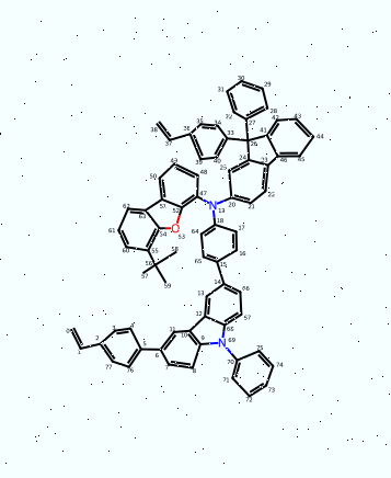 C=Cc1ccc(-c2ccc3c(c2)c2cc(-c4ccc(N(c5ccc6c(c5)C(c5ccccc5)(c5ccc(C=C)cc5)c5ccccc5-6)c5cccc6c5oc5c(C(C)(C)C)cccc56)cc4)ccc2n3-c2ccccc2)cc1